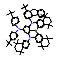 CC(C)(C)c1ccc(N(c2ccc(C(C)(C)C)cc2)c2cc3c4c(c2)N(c2ccc(C(C)(C)C)c5c2-c2ccccc2C5)c2cc5c(cc2B4c2cc4c(cc2N3c2ccc3c(c2)C(C)(C)CCC3(C)C)C(C)(C)CCC4(C)C)C(C)(C)CCC5(C)C)cc1